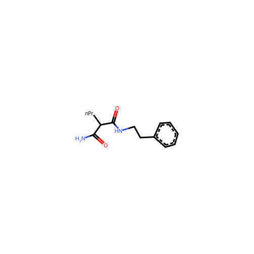 CCCC(C(N)=O)C(=O)NCCc1ccccc1